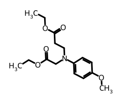 CCOC(=O)CCN(CC(=O)OCC)c1ccc(OC)cc1